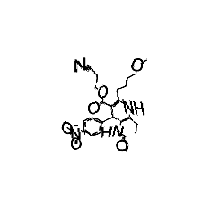 CCC1=C(NC=O)C(c2ccc([N+](=O)[O-])cc2)C(C(=O)OCCC#N)=C(CCCCOC)N1